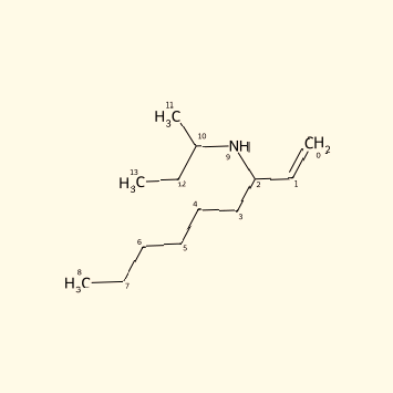 C=CC(CCCCCC)NC(C)CC